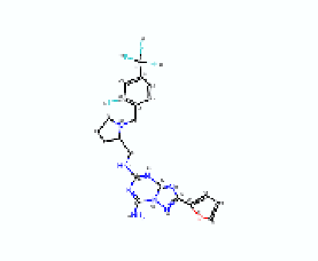 Nc1nc(NCC2CCCN2Cc2ccc(C(F)(F)F)cc2F)nc2nc(-c3ccco3)nn12